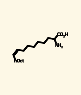 CCCCCCCC/C=C\CCCCCCC(N)C(=O)O